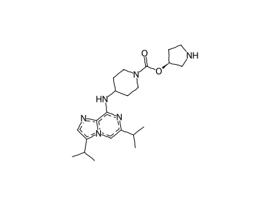 CC(C)c1cn2c(C(C)C)cnc2c(NC2CCN(C(=O)O[C@H]3CCNC3)CC2)n1